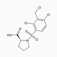 O=C(O)[C@@H]1CCCN1S(=O)(=O)c1ccc(Cl)c(CCl)c1Cl